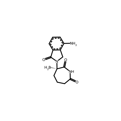 B[C@@]1(N2Cc3c(N)cccc3C2=O)CCCC(=O)NC1=O